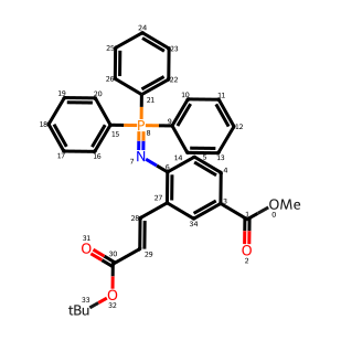 COC(=O)c1ccc(N=P(c2ccccc2)(c2ccccc2)c2ccccc2)c(/C=C/C(=O)OC(C)(C)C)c1